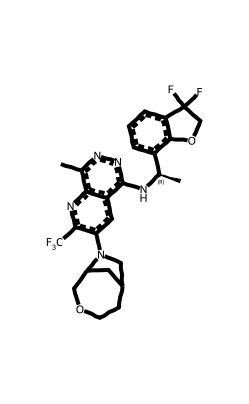 Cc1nnc(N[C@H](C)c2cccc3c2OCC3(F)F)c2cc(N3CC4CCOCC3C4)c(C(F)(F)F)nc12